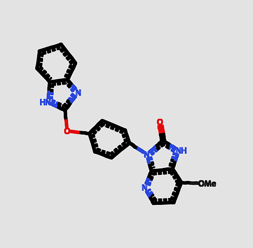 COc1ccnc2c1[nH]c(=O)n2-c1ccc(Oc2nc3ccccc3[nH]2)cc1